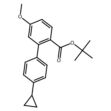 COc1ccc(C(=O)OC(C)(C)C)c(-c2ccc(C3CC3)cc2)c1